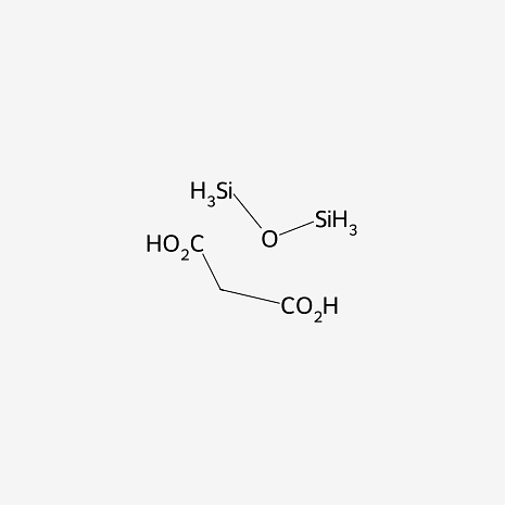 O=C(O)CC(=O)O.[SiH3]O[SiH3]